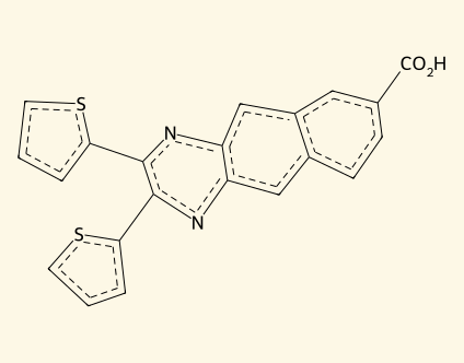 O=C(O)c1ccc2cc3nc(-c4cccs4)c(-c4cccs4)nc3cc2c1